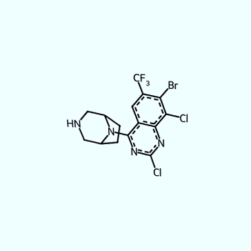 FC(F)(F)c1cc2c(N3C4CCC3CNC4)nc(Cl)nc2c(Cl)c1Br